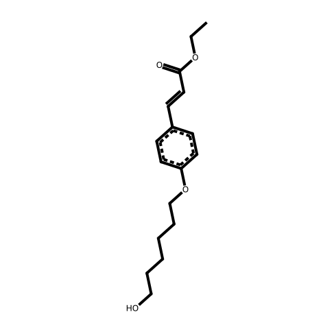 CCOC(=O)C=Cc1ccc(OCCCCCCO)cc1